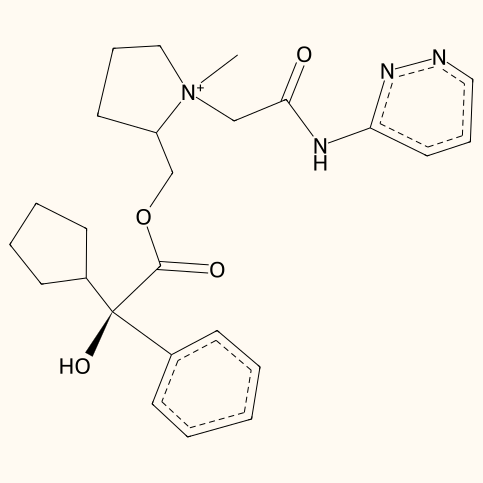 C[N+]1(CC(=O)Nc2cccnn2)CCCC1COC(=O)[C@](O)(c1ccccc1)C1CCCC1